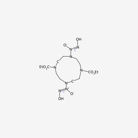 CCOC(=O)N1CCN(/[N+]([O-])=N/O)CCN(C(=O)OCC)CCN(/[N+]([O-])=N/O)CC1